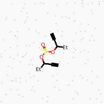 C#CC(CC)OS(=O)OC(C#C)CC